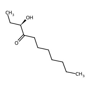 CCCCCCCC(=O)[C@H](O)CC